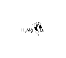 [MgH2].[O]=[Cr].[O]=[Fe]